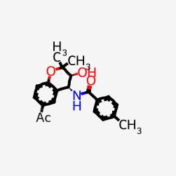 CC(=O)c1ccc2c(c1)[C@@H](NC(=O)c1ccc(C)cc1)[C@H](O)C(C)(C)O2